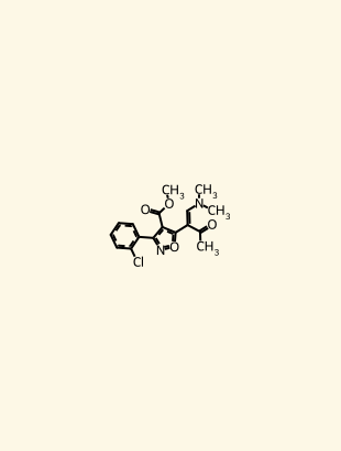 COC(=O)c1c(-c2ccccc2Cl)noc1C(=CN(C)C)C(C)=O